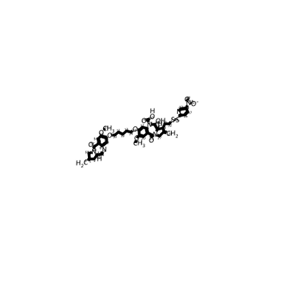 C=C1C[C@H]2C=Nc3cc(OCCCCCOc4cc5c(cc4OC)C(=O)N4CC(=C)C(CCSSc6ccc([N+](=O)[O-])cn6)[C@H]4[C@H](O)N5C(=O)O)c(OC)cc3C(=O)N2C1